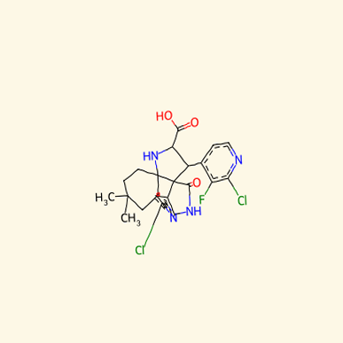 CC1(C)CCC2(CC1)NC(C(=O)O)C(c1ccnc(Cl)c1F)C21C(=O)Nc2nc(Cl)ccc21